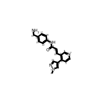 Cn1cc(-c2ccncc2C=CC(=O)Nc2ccc(CN)cc2)cn1